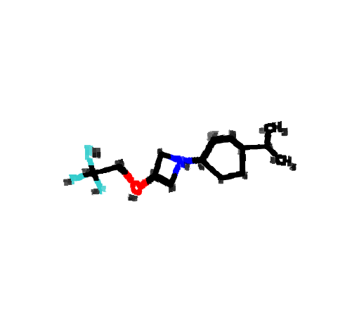 CC(C)C1CCC(N2CC(OCC(F)(F)F)C2)CC1